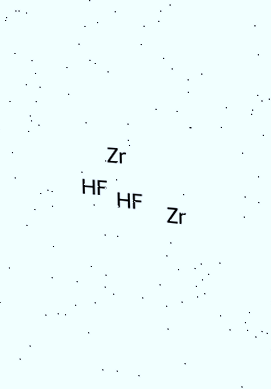 F.F.[Zr].[Zr]